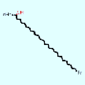 CCCCCCC(O)CCCCCCCCCC[CH]CCCCCCCCCCCCCCCC(C)C